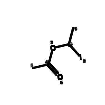 C[C](I)OC(C)=O